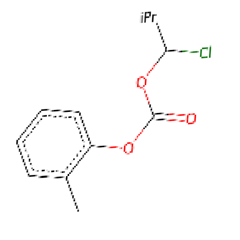 Cc1ccccc1OC(=O)OC(Cl)C(C)C